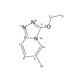 CCOc1nnc2ccc(C)cn12